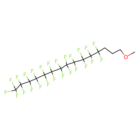 COCCCC(F)(F)C(F)(F)C(F)(F)C(F)(F)C(F)(F)C(F)(F)C(F)(F)C(F)(F)C(F)(F)C(F)(F)C(F)(F)C(F)(F)F